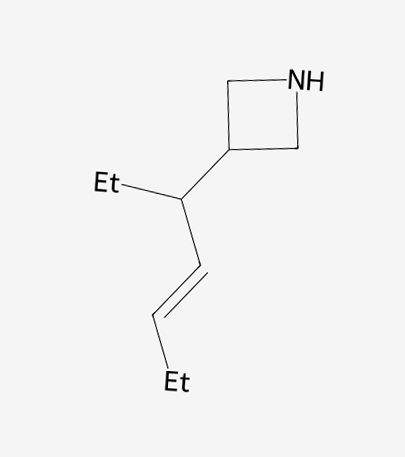 CC/C=C/C(CC)C1CNC1